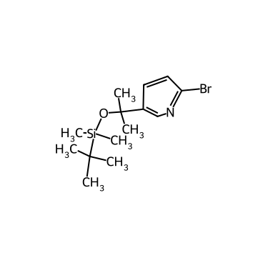 CC(C)(O[Si](C)(C)C(C)(C)C)c1ccc(Br)nc1